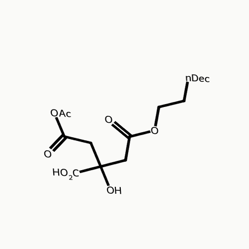 CCCCCCCCCCCCOC(=O)CC(O)(CC(=O)OC(C)=O)C(=O)O